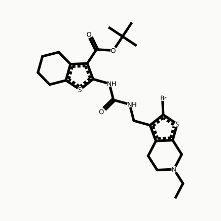 CCN1CCc2c(sc(Br)c2CNC(=O)Nc2sc3c(c2C(=O)OC(C)(C)C)CCCC3)C1